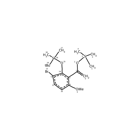 C=C(O[Si](C)(C)C)c1c(OC)ccc(Br)c1O[Si](C)(C)C(C)(C)C